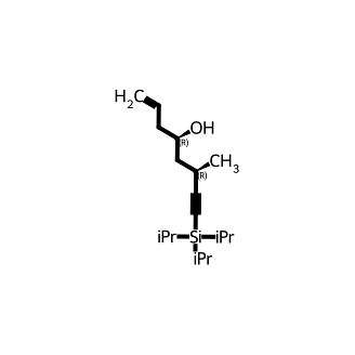 C=CC[C@@H](O)C[C@@H](C)C#C[Si](C(C)C)(C(C)C)C(C)C